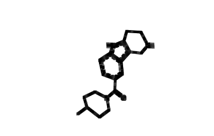 CC1CCN(C(=O)c2ccc3[nH]c4c(c3c2)CNCC4)CC1